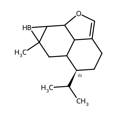 CC(C)[C@@H]1CCC2=COC3C2C1CC1(C)BC31